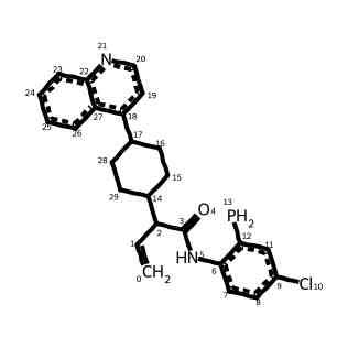 C=CC(C(=O)Nc1ccc(Cl)cc1P)C1CCC(c2ccnc3ccccc23)CC1